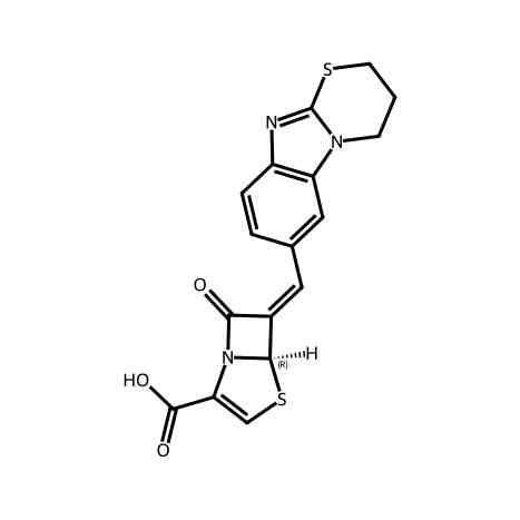 O=C(O)C1=CS[C@@H]2C(=Cc3ccc4nc5n(c4c3)CCCS5)C(=O)N12